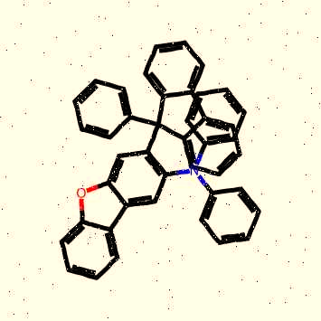 c1ccc(N(c2ccccc2)c2cc3c(cc2C2(c4ccccc4)c4ccccc4-c4ccccc42)oc2ccccc23)cc1